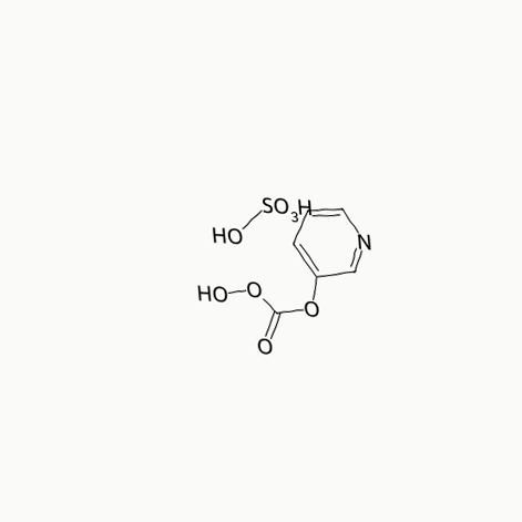 O=C(OO)Oc1cccnc1.O=S(=O)(O)O